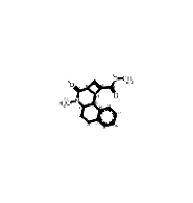 COC(=O)C1=CC2C(=O)N(C)C3CCc4ccccc4C3C12